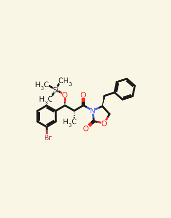 C[C@@H](C(=O)N1C(=O)OC[C@@H]1Cc1ccccc1)[C@H](O[Si](C)(C)C)c1cccc(Br)c1